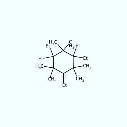 CCC1C(C)(C)C(CC)(CC)C(C)(C)C(CC)(CC)C1(C)C